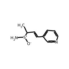 CC(C=Cc1cccnc1)[S+](N)[O-]